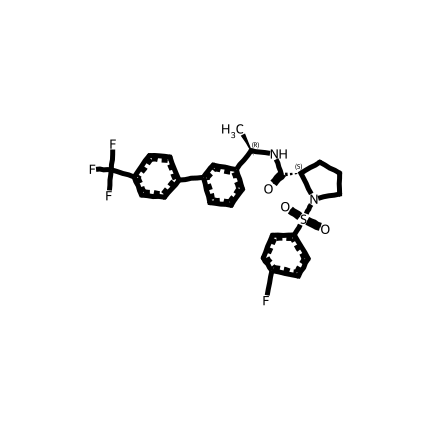 C[C@@H](NC(=O)[C@@H]1CCCN1S(=O)(=O)c1ccc(F)cc1)c1cccc(-c2ccc(C(F)(F)F)cc2)c1